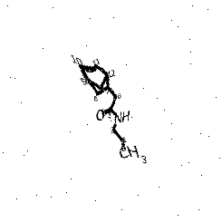 CCCNC(=O)CC1CC2C=CC1C2